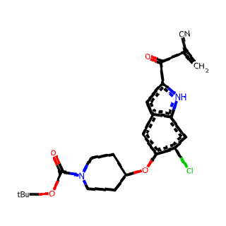 C=C(C#N)C(=O)c1cc2cc(OC3CCN(C(=O)OC(C)(C)C)CC3)c(Cl)cc2[nH]1